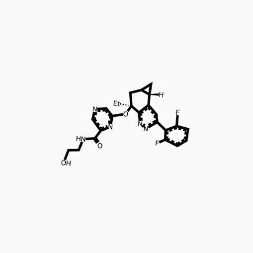 CC[C@]1(Oc2cncc(C(=O)NCCO)n2)CC2C[C@@H]2c2cc(-c3c(F)cccc3F)nnc21